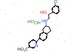 Cl.Cl.O=C(O)c1ccc(-c2ccc3c(c2)C[C@@H](NC[C@H](O)c2cccc(Cl)c2)CC3)nc1